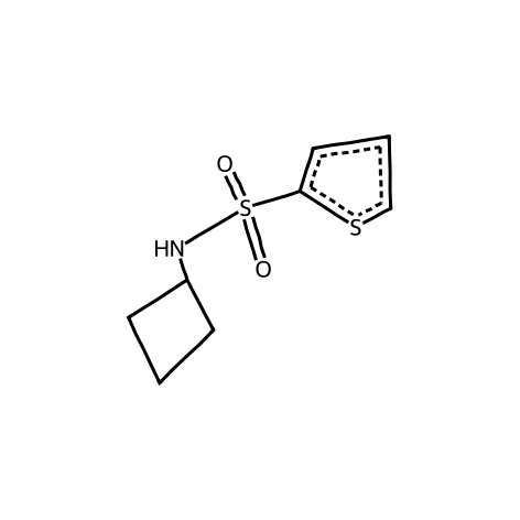 O=S(=O)(NC1CCC1)c1cccs1